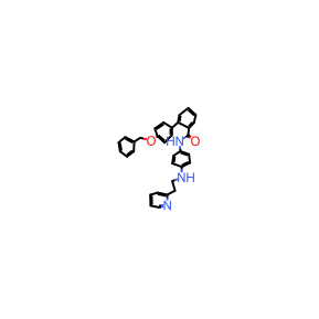 O=C(Nc1ccc(NCCc2ccccn2)cc1)c1ccccc1-c1ccc(OCc2ccccc2)cc1